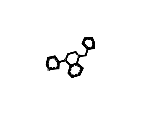 c1ccc(CN2CCN(c3cccnc3)c3ccccc32)cc1